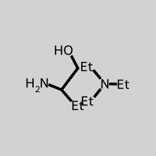 CCC(N)CO.CCN(CC)CC